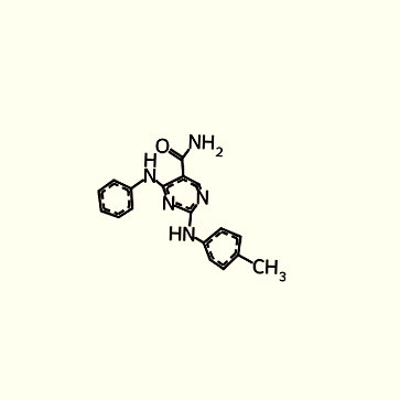 Cc1ccc(Nc2ncc(C(N)=O)c(Nc3ccccc3)n2)cc1